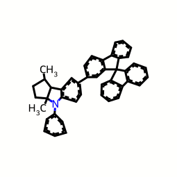 CC1CCC2(C)C1c1cc(-c3ccc4c(c3)C3(c5ccccc5-c5ccccc53)c3ccccc3-4)ccc1N2c1ccccc1